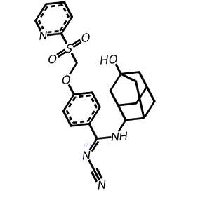 N#C/N=C(\NC1C2CC3CC1CC(O)(C3)C2)c1ccc(OCS(=O)(=O)c2ccccn2)cc1